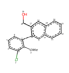 COc1c(Cl)cccc1-c1cc2ccccc2cc1CO